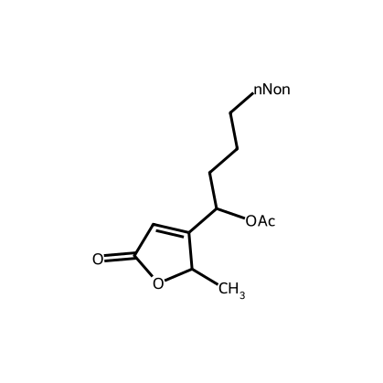 CCCCCCCCCCCCC(OC(C)=O)C1=CC(=O)OC1C